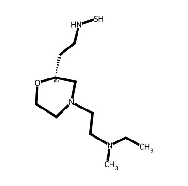 CCN(C)CCN1CCO[C@H](CCNS)C1